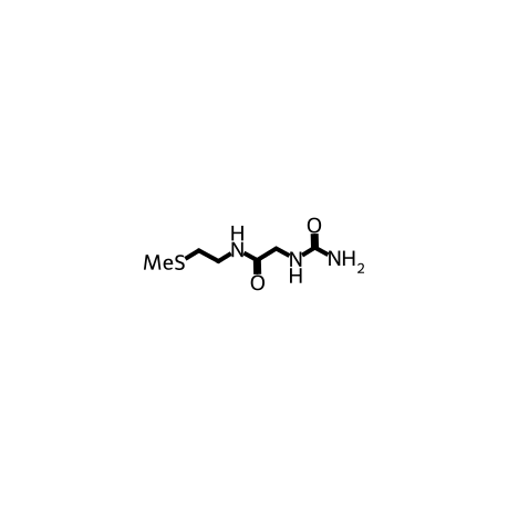 CSCCNC(=O)CNC(N)=O